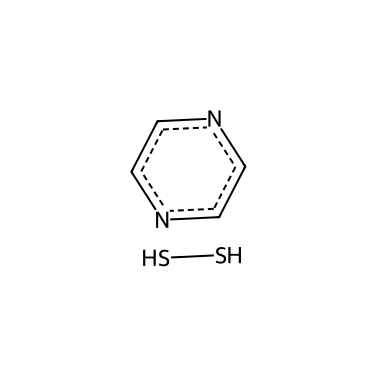 SS.c1cnccn1